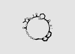 CC(C)[C@@H]1OC(=O)COCOC/C=C/c2ccc3ccc(nc3c2)[C@@H](C)NC2OC2[C@@H]2CCCN(N2)C(=O)[C@H](C)NC1=O